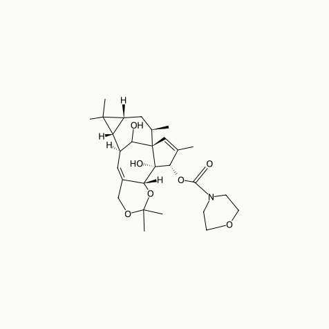 CC1=C[C@]23C(O)[C@@H](C=C4COC(C)(C)O[C@H]4[C@]2(O)[C@H]1OC(=O)N1CCOCC1)[C@H]1[C@@H](C[C@H]3C)C1(C)C